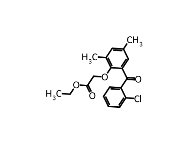 CCOC(=O)COc1c(C)cc(C)cc1C(=O)c1ccccc1Cl